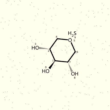 O[C@H]1[C@H](O)CO[CH][C@@H]1O.S